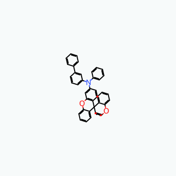 c1ccc(-c2cccc(N(c3ccccc3)c3ccc4c(c3)Oc3ccccc3C43c4ccccc4Oc4ccccc43)c2)cc1